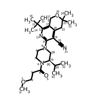 COCCC(=O)N1CCN(c2nc(C(C)(C)C)c3c(c2C#N)CC(C)(C)OC3)C[C@H]1C(C)C